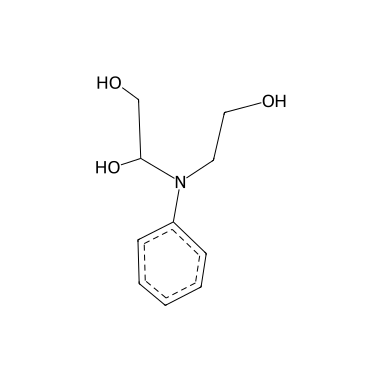 OCCN(c1ccccc1)C(O)CO